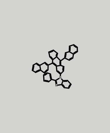 c1ccc(-c2nc3ccccc3n2-c2ccc3c(-c4ccc5ccccc5c4)c4ccccc4c(-c4ccc5ccccc5c4)c3c2)cc1